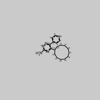 Nc1nnc(-c2ccncc2)c(C2CCCCCCCCCC2)n1